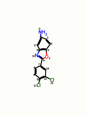 Nc1ccc2oc(-c3ccc(Cl)c(Cl)c3)nc2c1